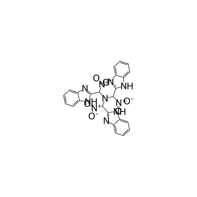 O=[N+]([O-])C(c1nc2ccccc2[nH]1)N(C(c1nc2ccccc2[nH]1)[N+](=O)[O-])C(c1nc2ccccc2[nH]1)[N+](=O)[O-]